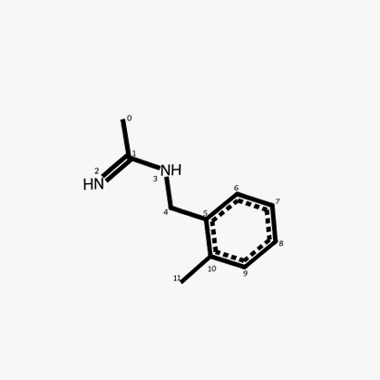 CC(=N)NCc1ccccc1C